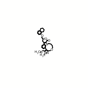 COCc1c2c(nn1C)COCCCCn1c(C(=O)O)c(CCCOc3cccc4c3CCCC4)c3cccc-2c31